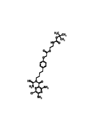 CC(C)(C)OC(=O)NCCOC(=O)COc1ccc(CCCCN(C(=N)N)C(=O)c2nc(Cl)c(N)nc2N)cc1